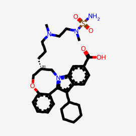 CN(CCC[C@H]1COc2ccccc2-c2c(C3CCCCC3)c3ccc(C(=O)O)cc3n2C1)CCN(C)S(N)(=O)=O